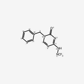 O=c1nc(NNC(F)(F)F)ncn1Cc1ccccc1